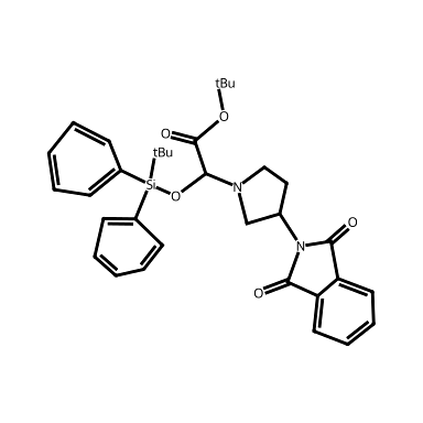 CC(C)(C)OC(=O)C(O[Si](c1ccccc1)(c1ccccc1)C(C)(C)C)N1CCC(N2C(=O)c3ccccc3C2=O)C1